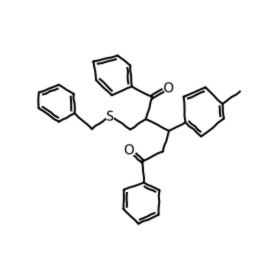 Cc1ccc(C(CC(=O)c2ccccc2)C(CSCc2ccccc2)C(=O)c2ccccc2)cc1